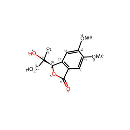 CCC(O)(C(=O)O)[C@@H]1OC(=O)c2cc(OC)c(OC)cc21